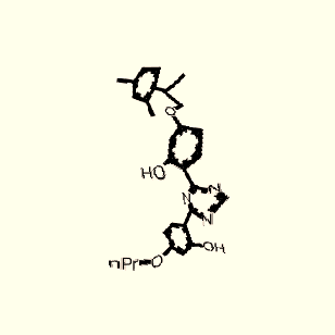 CCCOc1ccc(-c2ncnc(-c3ccc(OCC(C)c4ccc(C)cc4C)cc3O)n2)c(O)c1